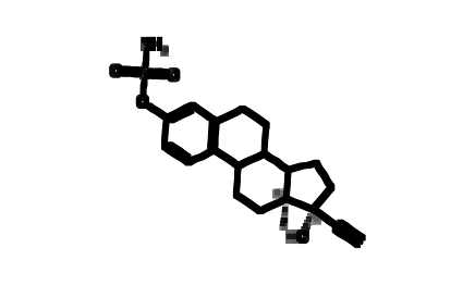 C#C[C@]1(O)CCC2C3CCc4cc(OS(N)(=O)=O)ccc4C3CC[C@@]21C